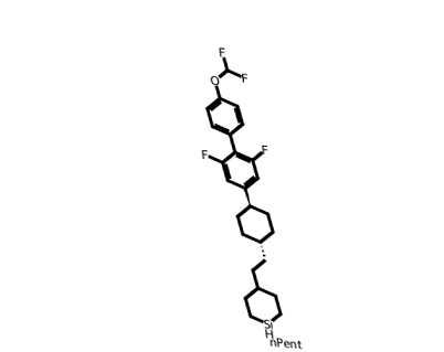 CCCCC[SiH]1CCC(CC[C@H]2CC[C@H](c3cc(F)c(-c4ccc(OC(F)F)cc4)c(F)c3)CC2)CC1